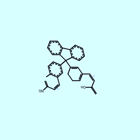 C=C(O)/C=C\C1=CCCC(C2(c3ccc(C)c(/C=C\C(=C)N=O)c3)c3ccccc3-c3ccccc32)=C1